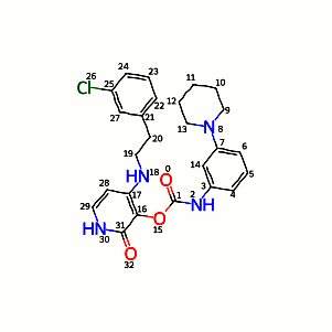 O=C(Nc1cccc(N2CCCCC2)c1)Oc1c(NCCc2cccc(Cl)c2)cc[nH]c1=O